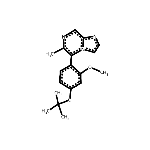 COc1cc(OC(C)(C)C)ccc1-c1c(C)ncc2nccn12